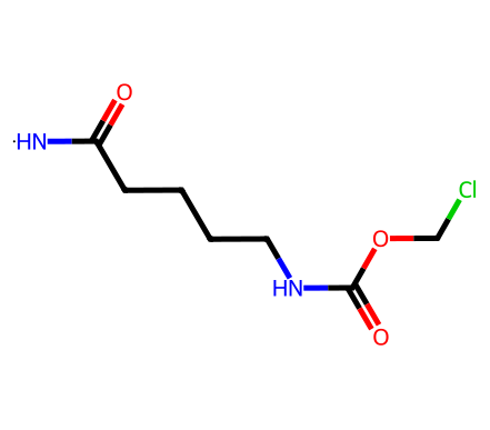 [NH]C(=O)CCCCNC(=O)OCCl